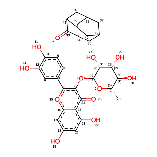 C[C@@H]1O[C@@H](Oc2c(-c3ccc(O)c(O)c3)oc3cc(O)cc(O)c3c2=O)[C@H](O)[C@H](O)[C@H]1O.O=C1C2CC3CC(C2)CC1C3